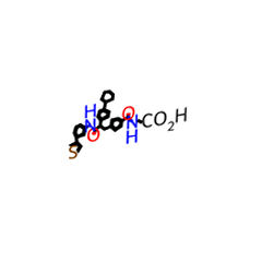 O=C(O)CCNC(=O)c1ccc(CC(C(=O)Nc2cccc(-c3ccsc3)c2)c2ccc(C3CCCCC3)cc2)cc1